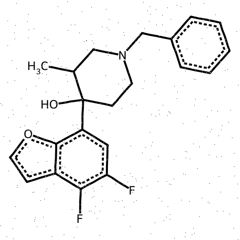 CC1CN(Cc2ccccc2)CCC1(O)c1cc(F)c(F)c2ccoc12